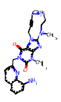 CC#CCn1c(N(C)CCN)nc2c1c(=O)n(Cc1ccc3cccc(N)c3n1)c(=O)n2C